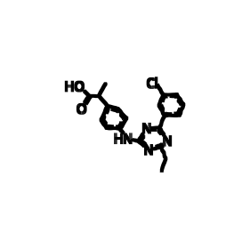 CCc1nc(Nc2ccc(C(C)C(=O)O)cc2)nc(-c2cccc(Cl)c2)n1